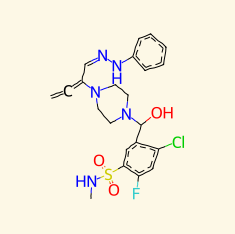 C=C=C(/C=N\Nc1ccccc1)N1CCN(C(O)c2cc(S(=O)(=O)NC)c(F)cc2Cl)CC1